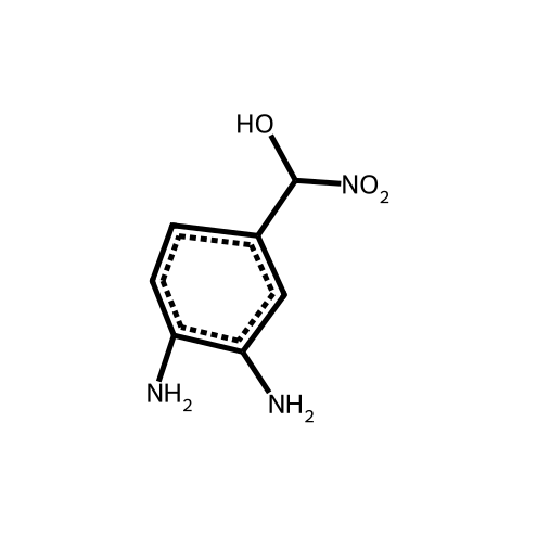 Nc1ccc(C(O)[N+](=O)[O-])cc1N